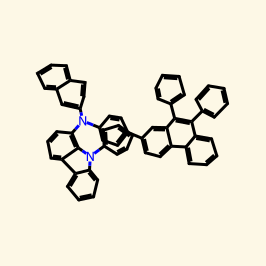 c1ccc(-c2c(-c3ccccc3)c3cc(-c4ccc(N(c5ccc6ccccc6c5)c5cccc6c7ccccc7n(-c7ccccc7)c56)cc4)ccc3c3ccccc23)cc1